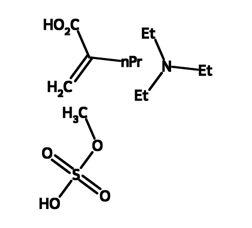 C=C(CCC)C(=O)O.CCN(CC)CC.COS(=O)(=O)O